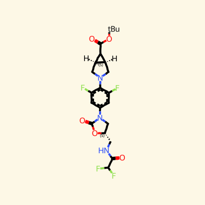 CC(C)(C)OC(=O)C1[C@H]2CN(c3c(F)cc(N4C[C@H](CNC(=O)C(F)F)OC4=O)cc3F)C[C@@H]12